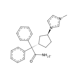 C[n+]1ccn([C@H]2CC[C@H](C(C(N)=O)(c3ccccc3)c3ccccc3)C2)c1.[I-]